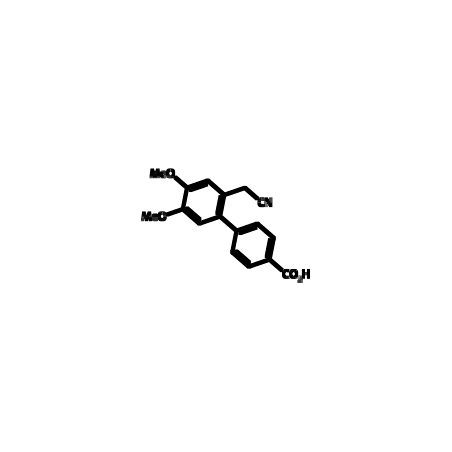 COc1cc(CC#N)c(-c2ccc(C(=O)O)cc2)cc1OC